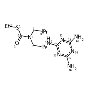 CCSC(=O)N(CC(C)C)CC(C)C.Nc1nc(N)nc(N)n1